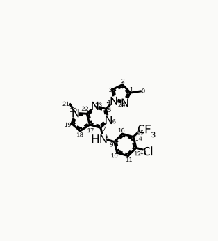 Cc1ccn(-c2nc(Nc3ccc(Cl)c(C(F)(F)F)c3)c3ccn(C)c3n2)n1